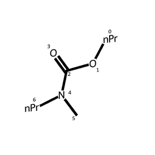 CCCOC(=O)N(C)CCC